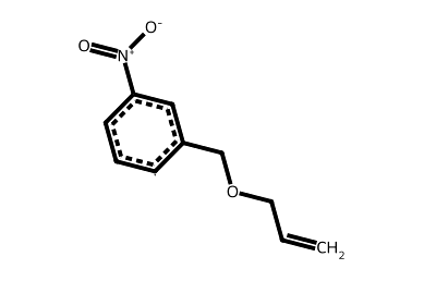 C=CCOCc1[c]ccc([N+](=O)[O-])c1